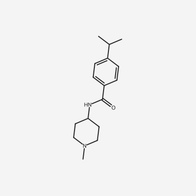 CC(C)c1ccc(C(=O)NC2CCN(C)CC2)cc1